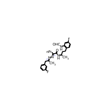 CCC/C(=N\N=C(/C)Cc1cccc(F)c1)C(=O)N[C@H](C)CCc1ccc(F)cc1NC=O